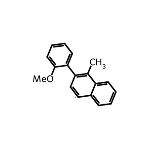 COc1ccccc1-c1c[c]c2ccccc2c1C